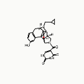 O=C(c1c[nH]c(=O)[nH]c1=O)N1C[C@H]2CC34CCC1C2C31CCN(CC2CC2)[C@@H]4Cc2ccc(O)cc21